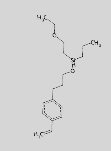 C=Cc1ccc(CCCO[SiH](CCC)CCOCC)cc1